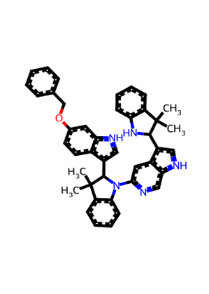 CC1(C)c2ccccc2NC1c1c[nH]c2cnc(N3c4ccccc4C(C)(C)C3c3c[nH]c4cc(OCc5ccccc5)ccc34)cc12